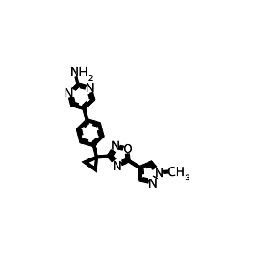 Cn1cc(-c2nc(C3(c4ccc(-c5cnc(N)nc5)cc4)CC3)no2)cn1